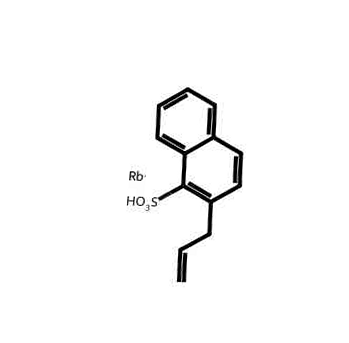 C=CCc1ccc2ccccc2c1S(=O)(=O)O.[Rb]